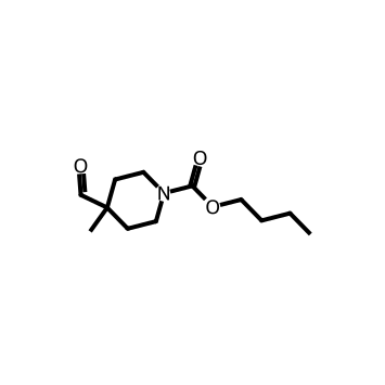 CCCCOC(=O)N1CCC(C)(C=O)CC1